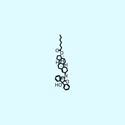 CCCCCCC(=O)O[C@H]1CC[C@H]2[C@@H]3CCC4=CC(=NNC(=O)C(O)(c5ccccc5)c5ccccc5)CC[C@]4(C)[C@H]3CC[C@]12C